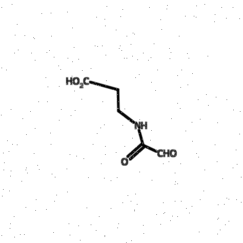 O=CC(=O)NCCC(=O)O